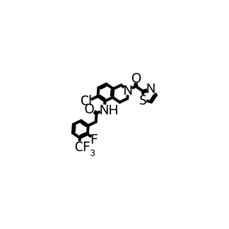 O=C(Cc1cccc(C(F)(F)F)c1F)Nc1c(Cl)ccc2c1CCN(C(=O)c1nccs1)C2